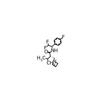 CC(C)[C@@H](CN1CCC1)C(=O)N[C@H](c1ccc(F)cc1)C(F)F